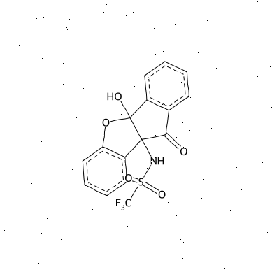 O=C1c2ccccc2C2(O)Oc3ccccc3C12NS(=O)(=O)C(F)(F)F